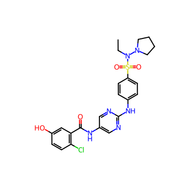 CCN(N1CCCC1)S(=O)(=O)c1ccc(Nc2ncc(NC(=O)c3cc(O)ccc3Cl)cn2)cc1